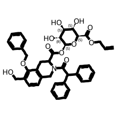 C=CCOC(=O)[C@H]1O[C@@H](OC(=O)C2Cc3c(ccc(CO)c3OCc3ccccc3)CN2C(=O)C(c2ccccc2)c2ccccc2)[C@H](O)[C@@H](O)[C@@H]1O